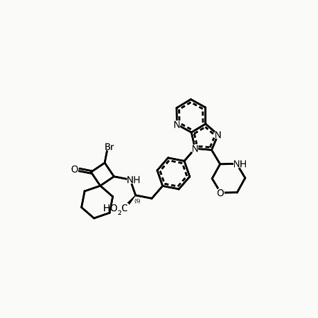 O=C(O)[C@H](Cc1ccc(-n2c(C3COCCN3)nc3cccnc32)cc1)NC1C(Br)C(=O)C12CCCCC2